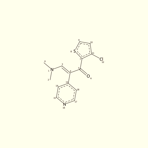 CN(C)/C=C(/C(=O)c1sccc1Cl)c1ccncc1